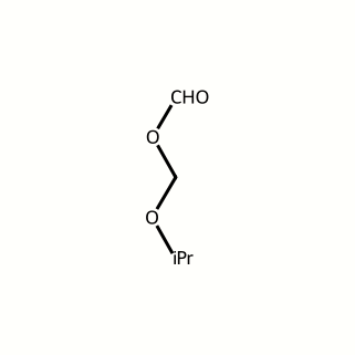 CC(C)OCOC=O